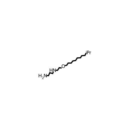 CC(C)CCCCCCCCCOCCCNCCCN